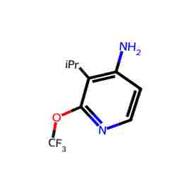 CC(C)c1c(N)ccnc1OC(F)(F)F